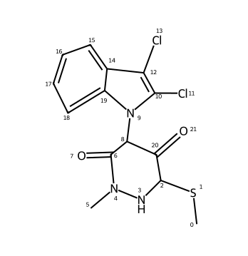 CSC1NN(C)C(=O)C(n2c(Cl)c(Cl)c3ccccc32)C1=O